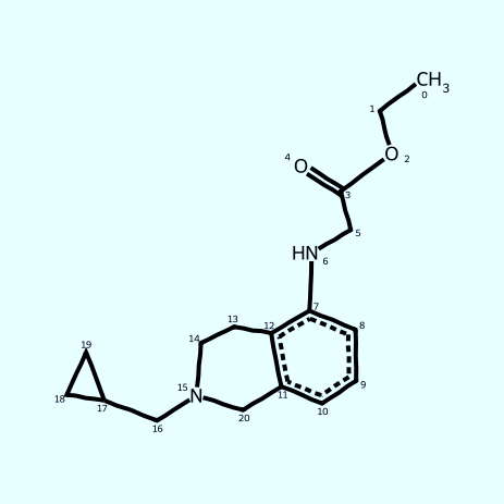 CCOC(=O)CNc1cccc2c1CCN(CC1CC1)C2